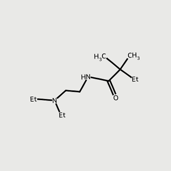 CCN(CC)CCNC(=O)C(C)(C)CC